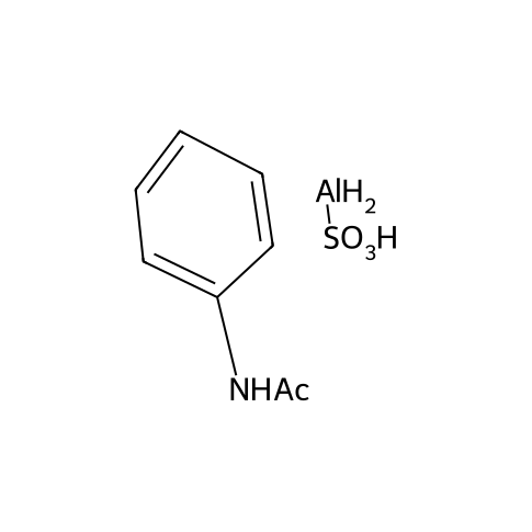 CC(=O)Nc1ccccc1.O=[S](=O)(O)[AlH2]